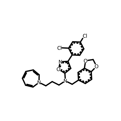 Clc1ccc(-c2cc(N(CCCN3C=CC=CC=C3)Cc3ccc4c(c3)OCO4)on2)c(Cl)c1